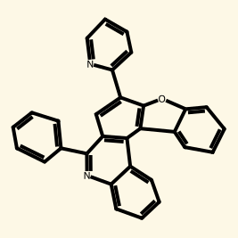 c1ccc(-c2nc3ccccc3c3c2cc(-c2ccccn2)c2oc4ccccc4c23)cc1